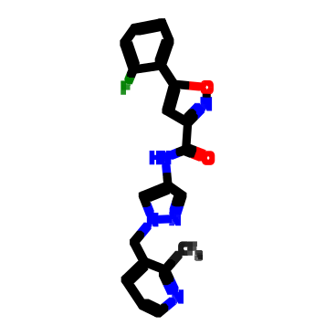 O=C(Nc1cnn(Cc2cccnc2C(F)(F)F)c1)c1cc(-c2ccccc2F)on1